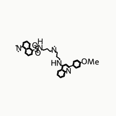 COc1ccc(-c2cc(NCCCN(C)CCCNS(=O)(=O)c3cccc4c(N(C)C)cccc34)c3ccccc3n2)cc1